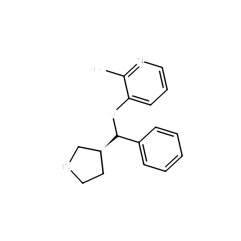 Cc1ncccc1OC(c1ccccc1)[C@H]1CCNC1